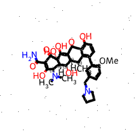 COc1ccc(CN2CCCC2)cc1-c1ccc(O)c2c1[C@H](C)[C@@H]1C(=C(O)[C@]3(O)C(=O)C(C(N)=O)=C(O)[C@@H](N(C)C)[C@@H]3[C@H]1O)C2=O